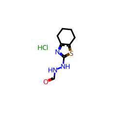 Cl.O=CNNc1nc2c(s1)CCCC2